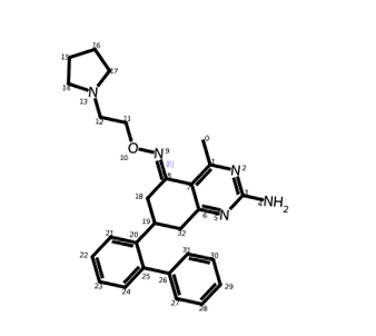 Cc1nc(N)nc2c1/C(=N/OCCN1CCCC1)CC(c1ccccc1-c1ccccc1)C2